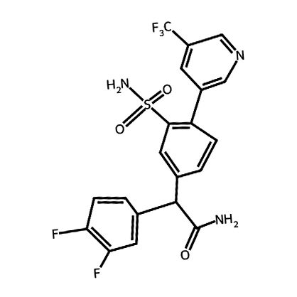 NC(=O)C(c1ccc(F)c(F)c1)c1ccc(-c2cncc(C(F)(F)F)c2)c(S(N)(=O)=O)c1